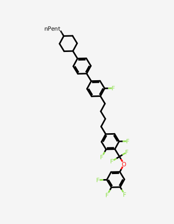 CCCCCC1CCC(c2ccc(-c3ccc(CCCCc4cc(F)c(C(F)(F)Oc5cc(F)c(F)c(F)c5)c(F)c4)c(F)c3)cc2)CC1